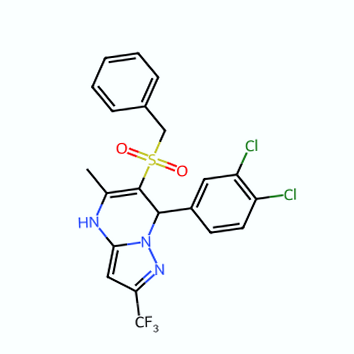 CC1=C(S(=O)(=O)Cc2ccccc2)C(c2ccc(Cl)c(Cl)c2)n2nc(C(F)(F)F)cc2N1